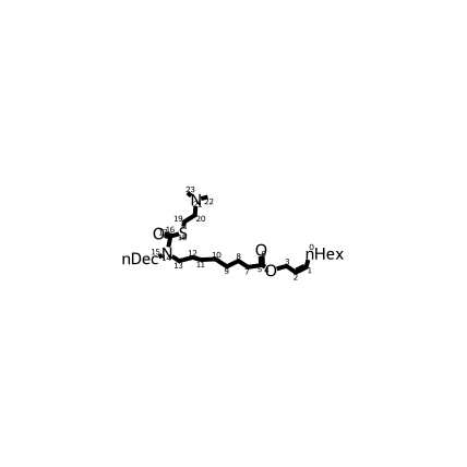 CCCCCC/C=C\COC(=O)CCCCCCCN(CCCCCCCCCC)C(=O)SCCN(C)C